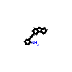 Nc1ccccc1C#Cc1ccc2c(c1)-c1ccccc1C2